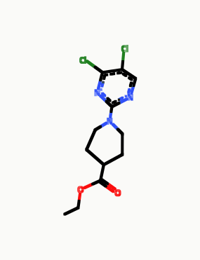 CCOC(=O)C1CCN(c2ncc(Cl)c(Cl)n2)CC1